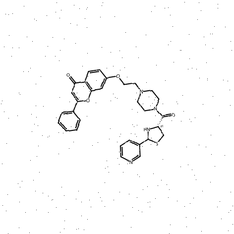 O=C([C@@H]1CSC(c2cccnc2)N1)N1CCN(CCOc2ccc3c(=O)cc(-c4ccccc4)oc3c2)CC1